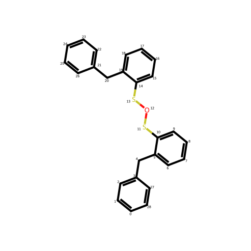 c1ccc(Cc2ccccc2SOSc2ccccc2Cc2ccccc2)cc1